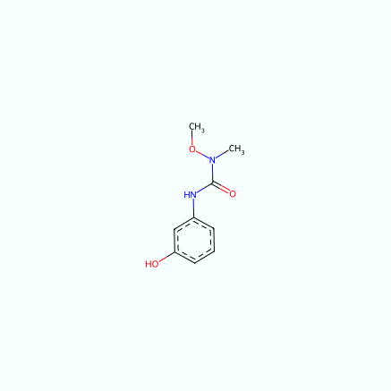 CON(C)C(=O)Nc1cccc(O)c1